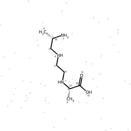 C[C@H](N)CNCCN[C@@H](C)C(=O)O